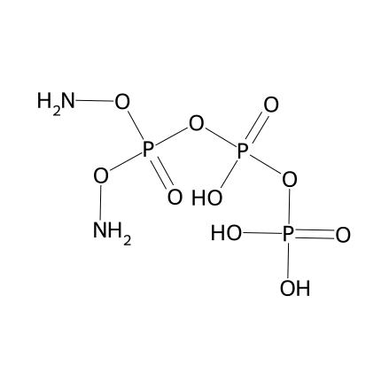 NOP(=O)(ON)OP(=O)(O)OP(=O)(O)O